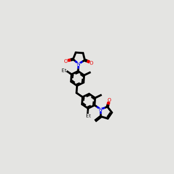 C=C1C=CC(=O)N1c1c(C)cc(Cc2cc(C)c(N3C(=O)CCC3=O)c(CC)c2)cc1CC